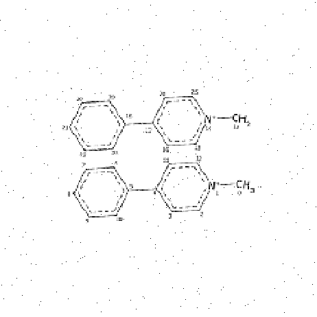 C[n+]1ccc(-c2ccccc2)cc1.C[n+]1ccc(-c2ccccc2)cc1